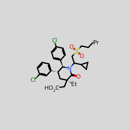 CC[C@]1(CC(=O)O)C[C@H](c2cccc(Cl)c2)[C@@H](c2ccc(Cl)cc2)N(C(CS(=O)(=O)CCC(C)C)C2CC2)C1=O